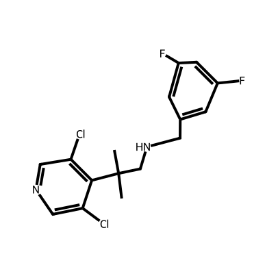 CC(C)(CNCc1cc(F)cc(F)c1)c1c(Cl)cncc1Cl